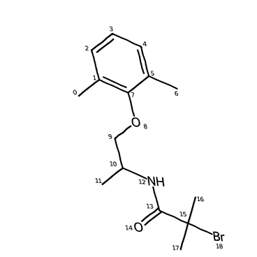 Cc1cccc(C)c1OCC(C)NC(=O)C(C)(C)Br